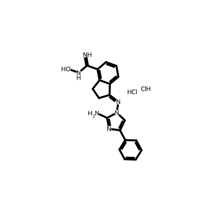 Cl.Cl.N=C(NO)c1cccc2c1CCC2=Nn1cc(-c2ccccc2)nc1N